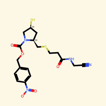 N#CCNC(=O)CCSC[C@@H]1C[C@H](S)CN1C(=O)OCc1ccc([N+](=O)[O-])cc1